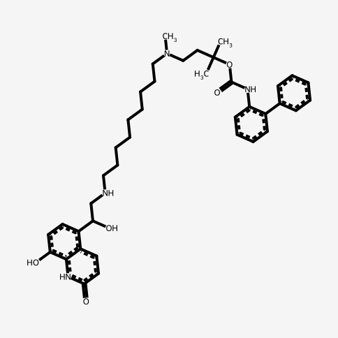 CN(CCCCCCCCCNCC(O)c1ccc(O)c2[nH]c(=O)ccc12)CCC(C)(C)OC(=O)Nc1ccccc1-c1ccccc1